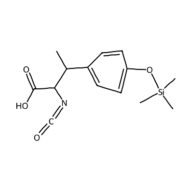 CC(c1ccc(O[Si](C)(C)C)cc1)C(N=C=O)C(=O)O